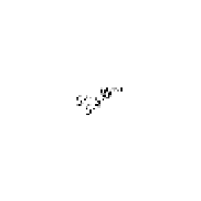 [S-2].[S-2].[S-2].[W+6]